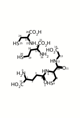 NC(CCC(=O)NC(CS)C(=O)NCC(=O)O)C(=O)O.NC(CCS)C(=O)O.NC(CS)C(=O)O